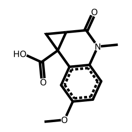 COc1ccc2c(c1)C1(C(=O)O)CC1C(=O)N2C